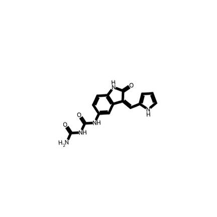 NC(=O)NC(=O)Nc1ccc2c(c1)C(=Cc1ccc[nH]1)C(=O)N2